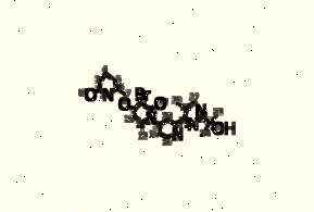 COc1cccc(COc2cc(C)n(-c3ccnc(-c4nc(C(C)(C)O)ncc4C)c3)c(=O)c2Br)n1